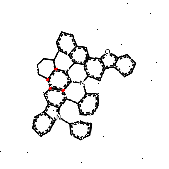 c1ccc(-n2c3ccccc3c3cccc(-c4ccccc4N(c4ccc5oc6ccccc6c5c4)c4ccccc4-c4cccc5cccc(C6CCCCC6)c45)c32)cc1